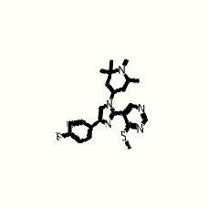 CSc1ncncc1-c1nc(-c2ccc(F)cc2)cn1C1CC(C)N(C)C(C)(C)C1